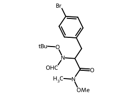 CON(C)C(=O)C(Cc1ccc(Br)cc1)N(C=O)OC(C)(C)C